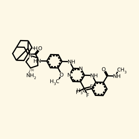 CNC(=O)c1cccc(C)c1Nc1nc(Nc2ccc(NC(=O)[C@]34CC5CC(C3)[C@H](N3CC[C@H](N)C3)C(C5)C4)cc2OC)ncc1C(F)(F)F